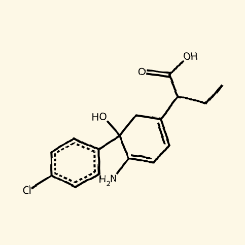 CCC(C(=O)O)C1=CC=C(N)C(O)(c2ccc(Cl)cc2)C1